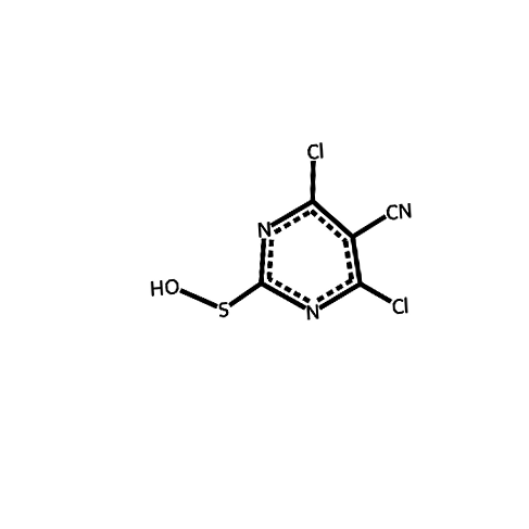 N#Cc1c(Cl)nc(SO)nc1Cl